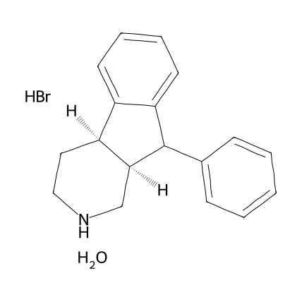 Br.O.c1ccc(C2c3ccccc3[C@@H]3CCNC[C@H]23)cc1